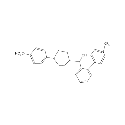 O=C(O)c1ccc(N2CCC(C(O)c3ccccc3-c3ccc(C(F)(F)F)cc3)CC2)cc1